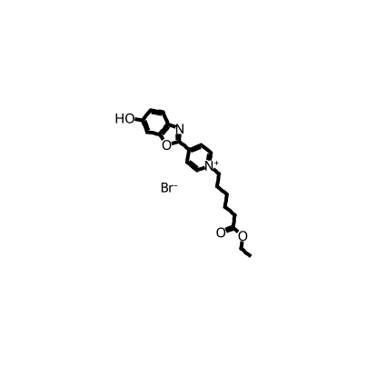 CCOC(=O)CCCCC[n+]1ccc(-c2nc3ccc(O)cc3o2)cc1.[Br-]